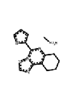 CS(=O)(=O)O.c1coc(-c2nc3c(c4ncnn24)CCCC3)c1